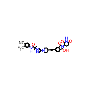 CC(C)(C(=O)Nc1ccc(C#N)c(C(F)(F)F)c1)n1cc(N2CCC(C#Cc3ccc4c(c3)C(=O)N(C3CCC(=O)NC3=O)C4O)CC2)cn1